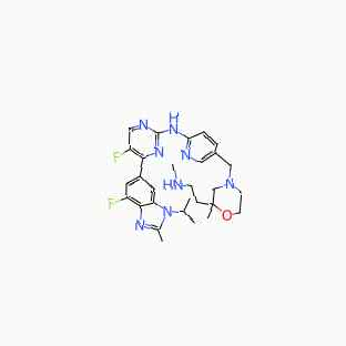 CNCCC1(C)CN(Cc2ccc(Nc3ncc(F)c(-c4cc(F)c5nc(C)n(C(C)C)c5c4)n3)nc2)CCO1